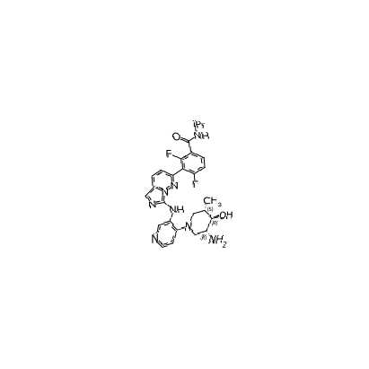 CC(C)NC(=O)c1ccc(F)c(-c2ccc3cnc(Nc4cnccc4N4C[C@@H](N)[C@H](O)[C@@H](C)C4)n3n2)c1F